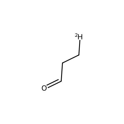 [2H]CCC=O